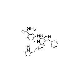 Cc1ccc(C(N)=O)cc1Nc1nc(NCCC2CCCN2)nc2c1cnn2-c1ccccc1